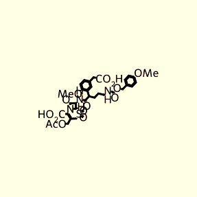 COc1ccc(COC(=O)NCCCC(C(=O)N[C@H]2C(=O)N3C(C(=O)O)=C(COC(C)=O)CS(=O)(=O)[C@@H]23)c2cc(CC(=O)O)ccc2OC)cc1